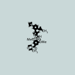 COc1cc(C(=O)N2CCOC[C@@H]2C)cc(OC)c1S(=O)(=O)Nc1noc2c1C[C@@]1(C[C@@H]1C)c1ccc(N3CCC3)cc1-2